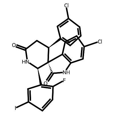 O=C1C[C@@H](c2cccc(Cl)c2)[C@]2(C(=O)Nc3cc(Cl)ccc32)[C@@H](c2cc(I)ccc2F)N1